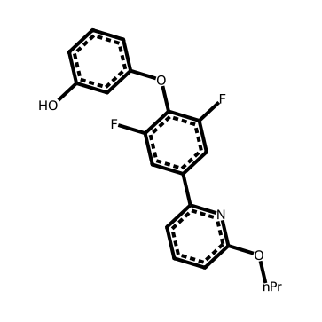 CCCOc1cccc(-c2cc(F)c(Oc3cccc(O)c3)c(F)c2)n1